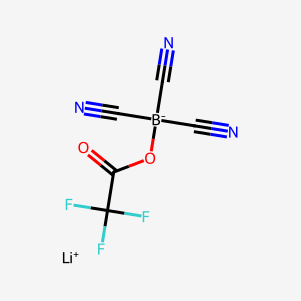 N#C[B-](C#N)(C#N)OC(=O)C(F)(F)F.[Li+]